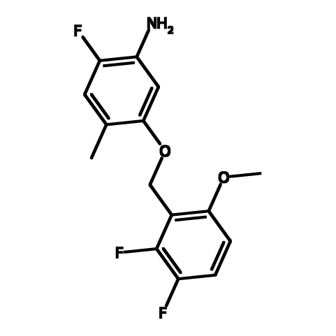 COc1ccc(F)c(F)c1COc1cc(N)c(F)cc1C